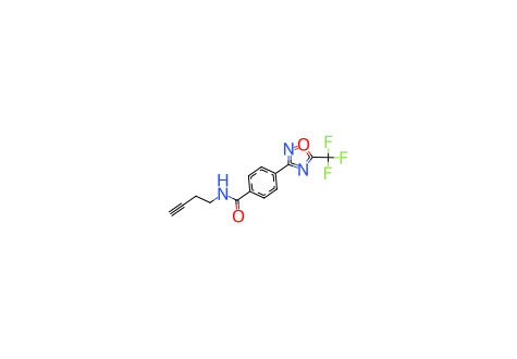 C#CCCNC(=O)c1ccc(-c2noc(C(F)(F)F)n2)cc1